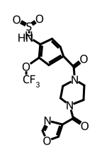 O=C(c1ccc(N[SH](=O)=O)c(OC(F)(F)F)c1)N1CCN(C(=O)c2cocn2)CC1